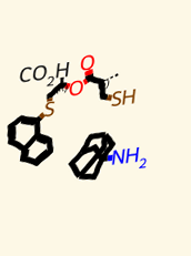 C[C@H](CS)C(=O)O[C@@H](CSc1cccc2ccccc12)C(=O)O.NC12CC3CC(CC(C3)C1)C2